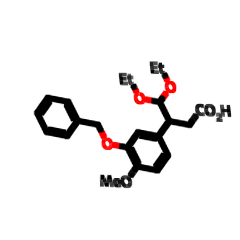 CCOC(OCC)C(CC(=O)O)c1ccc(OC)c(OCc2ccccc2)c1